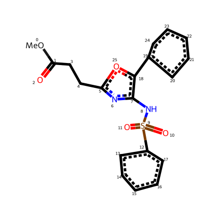 COC(=O)CCc1nc(NS(=O)(=O)c2ccccc2)c(-c2ccccc2)o1